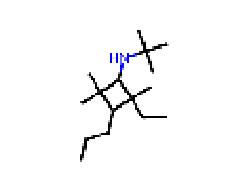 CCCC1C(C)(C)C(NC(C)(C)C)C1(C)CC